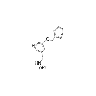 CCCNCc1cncc(OCc2ccccc2)c1